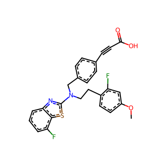 COc1ccc(CCN(Cc2ccc(C#CC(=O)O)cc2)c2nc3cccc(F)c3s2)c(F)c1